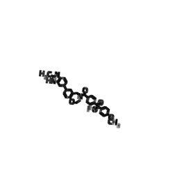 COc1ccc(S(=O)(=O)c2ccc(C(=O)N3CCOc4ccc(-c5ccc6nc(C)[nH]c6c5)cc4C3)cc2F)cc1